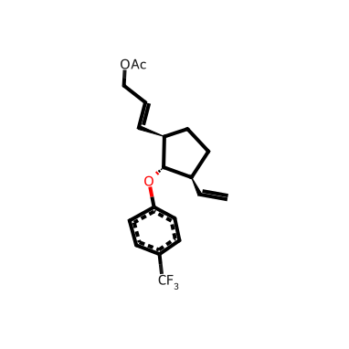 C=C[C@@H]1CC[C@H](C=CCOC(C)=O)[C@H]1Oc1ccc(C(F)(F)F)cc1